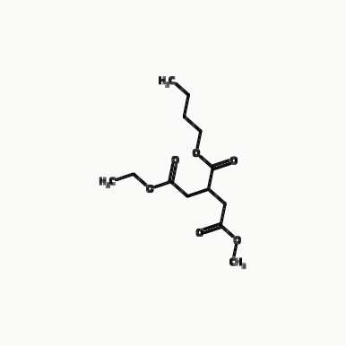 CCCCOC(=O)C(CC(=O)OC)CC(=O)OCC